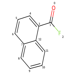 O=C(F)c1cccc2ccccc12